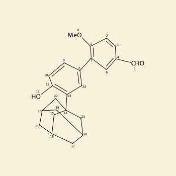 COc1ccc(C=O)cc1-c1ccc(O)c(C23CC4CC(CC(C4)C2)C3)c1